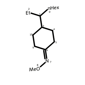 CCCCCCC(CC)C1CCC(=NOC)CC1